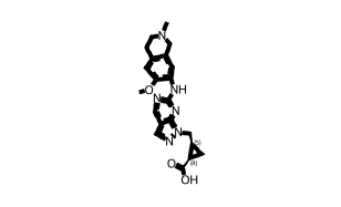 COc1cc2c(cc1Nc1ncc3cnn(C[C@H]4C[C@H]4C(=O)O)c3n1)CN(C)CC2